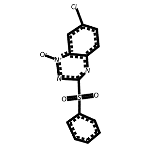 O=S(=O)(c1ccccc1)c1nc2ccc(Cl)cc2[n+]([O-])n1